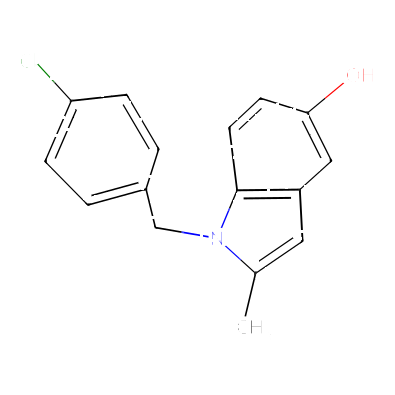 Cc1cc2cc(O)ccc2n1Cc1ccc(Cl)cc1